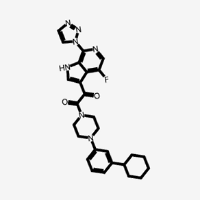 O=C(C(=O)N1CCN(c2cccc(C3CCCCC3)c2)CC1)c1c[nH]c2c(-n3ccnn3)ncc(F)c12